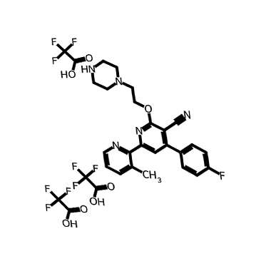 Cc1cccnc1-c1cc(-c2ccc(F)cc2)c(C#N)c(OCCN2CCNCC2)n1.O=C(O)C(F)(F)F.O=C(O)C(F)(F)F.O=C(O)C(F)(F)F